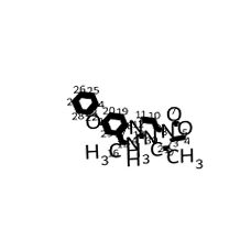 CC(C)[C@H]1COC(=O)N1c1ccnc(N[C@@H](C)c2cccc(Oc3ccccc3)c2)n1